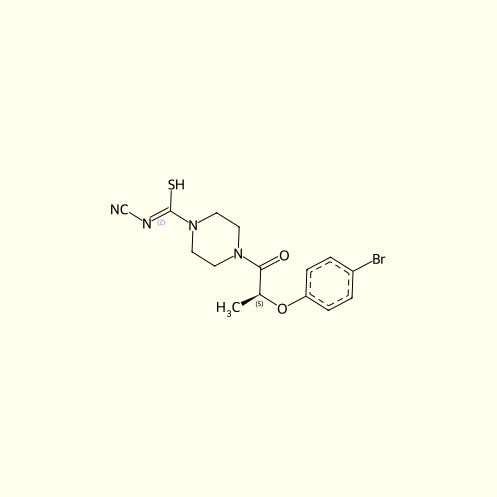 C[C@H](Oc1ccc(Br)cc1)C(=O)N1CCN(/C(S)=N/C#N)CC1